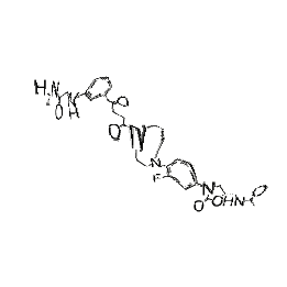 CC(=O)NC[C@H]1CN(c2ccc(N3CCN(C(=O)CCC(=O)c4cccc(NCC(N)=O)c4)CC3)c(F)c2)C(=O)O1